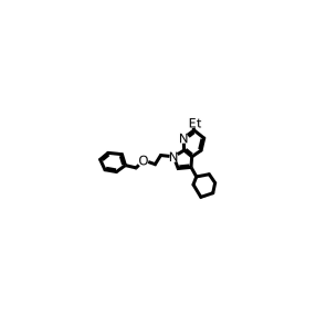 CCc1ccc2c(C3CCCCC3)cn(CCOCc3ccccc3)c2n1